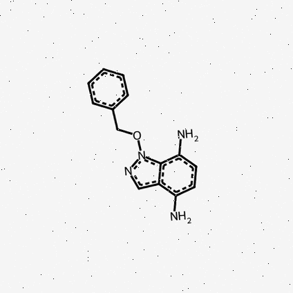 Nc1ccc(N)c2c1cnn2OCc1ccccc1